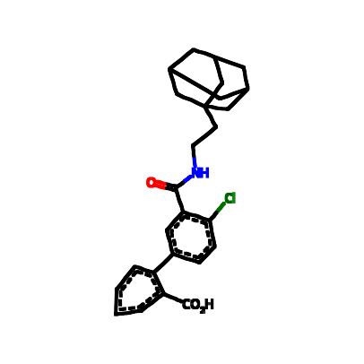 O=C(NCCC12CC3CC(CC(C3)C1)C2)c1cc(-c2ccccc2C(=O)O)ccc1Cl